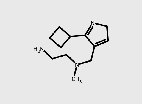 CN(CCN)CC1=CCN=C1C1CCC1